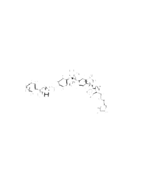 O=S(=O)(Nc1ccc(CCNCC(O)c2cccnc2)cc1)c1ccc2c(c1)CCN2c1nc(CCCC2CCCC2)co1